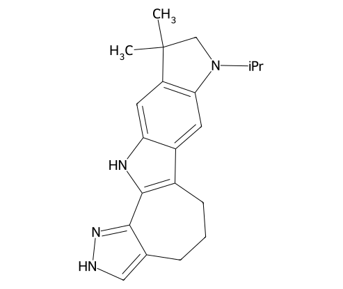 CC(C)N1CC(C)(C)c2cc3[nH]c4c(c3cc21)CCCc1c[nH]nc1-4